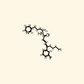 CCCCC/C(=C\C=C\C(=O)N[C@H](C)CCCc1cccnc1)c1cccc(F)c1